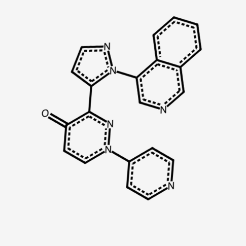 O=c1ccn(-c2ccncc2)nc1-c1ccnn1-c1cncc2ccccc12